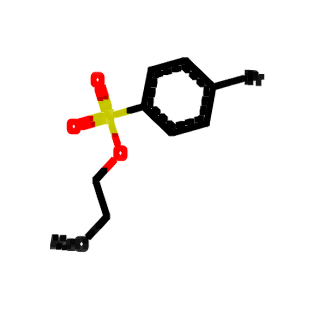 COCCOS(=O)(=O)c1ccc(C(C)C)cc1